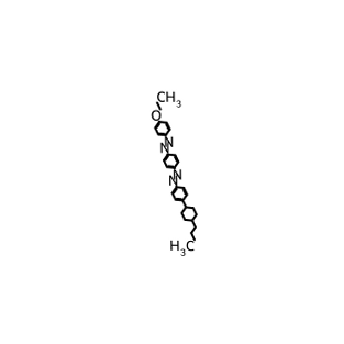 CCCCC1CCC(c2ccc(N=Nc3ccc(N=Nc4ccc(OCCC)cc4)cc3)cc2)CC1